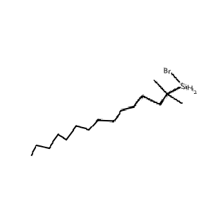 CCCCCCCCCCCCCC(C)(C)[SiH2]Br